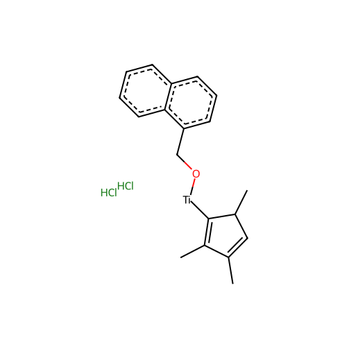 CC1=CC(C)[C]([Ti][O]Cc2cccc3ccccc23)=C1C.Cl.Cl